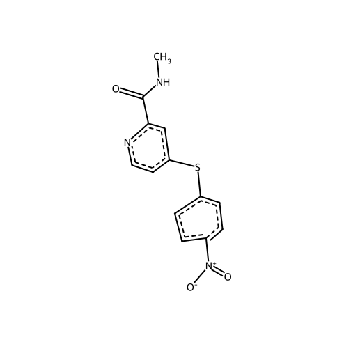 CNC(=O)c1cc(Sc2ccc([N+](=O)[O-])cc2)ccn1